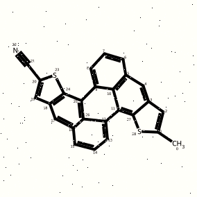 Cc1cc2cc3cccc4c3c(c3cccc5cc6cc(C#N)sc6c4c53)c2s1